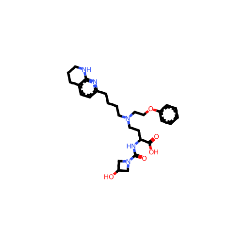 O=C(O)C(CCN(CCCCc1ccc2c(n1)NCCC2)CCOc1ccccc1)NC(=O)N1CC(O)C1